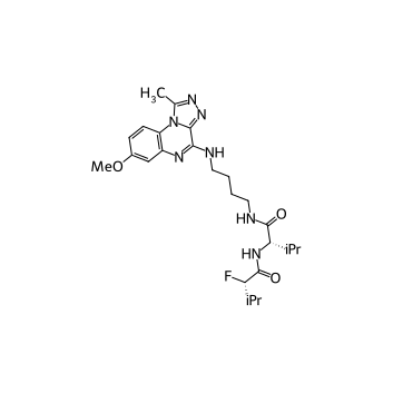 COc1ccc2c(c1)nc(NCCCCNC(=O)[C@@H](NC(=O)[C@@H](F)C(C)C)C(C)C)c1nnc(C)n12